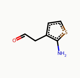 Nc1sccc1CC=O